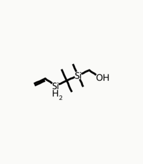 C=C[SiH2]C(C)(C)[Si](C)(C)CO